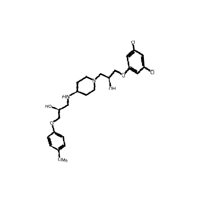 COc1ccc(OC[C@@H](O)CNC2CCN(C[C@H](O)COc3cc(Cl)cc(Cl)c3)CC2)cc1